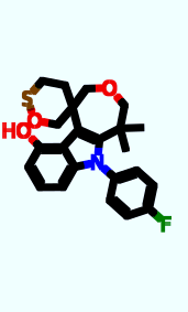 CC1(C)COCC2(CCSOC2)c2c1n(-c1ccc(F)cc1)c1cccc(O)c21